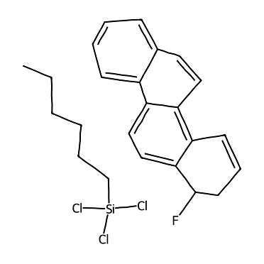 CCCCCC[Si](Cl)(Cl)Cl.FC1CC=Cc2c1ccc1c2ccc2ccccc21